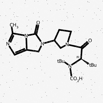 Cc1ncc2n1C(=O)N(C1CCN(C(=O)[C@H](N(C(=O)O)C(C)(C)C)C(C)(C)C)C1)C2